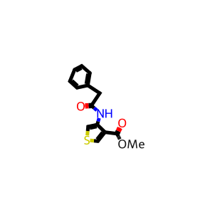 COC(=O)c1cscc1NC(=O)Cc1ccccc1